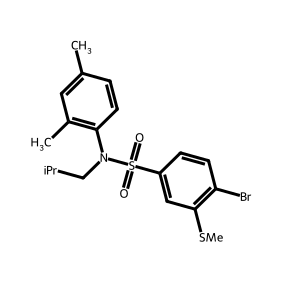 CSc1cc(S(=O)(=O)N(CC(C)C)c2ccc(C)cc2C)ccc1Br